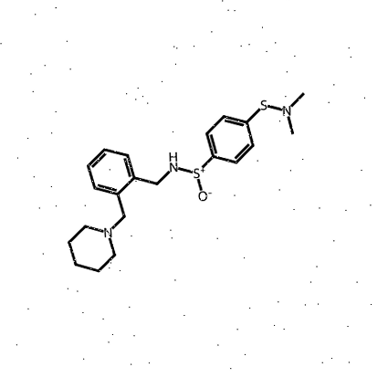 CN(C)Sc1ccc([S+]([O-])NCc2ccccc2CN2CCCCC2)cc1